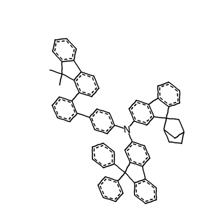 CC1(C)c2ccccc2-c2cccc(-c3ccccc3-c3ccc(N(c4ccc5c(c4)C(c4ccccc4)(c4ccccc4)c4ccccc4-5)c4ccc5c(c4)C4(CC6CCC4C6)c4ccccc4-5)cc3)c21